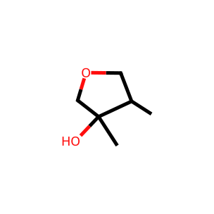 CC1COCC1(C)O